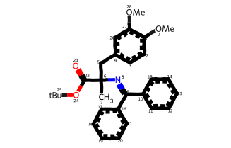 COc1ccc(CC(C)(N=C(c2ccccc2)c2ccccc2)C(=O)OC(C)(C)C)cc1OC